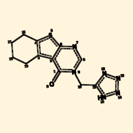 O=c1c2c3c(sc2ncn1Cc1nnn[nH]1)CCCC3